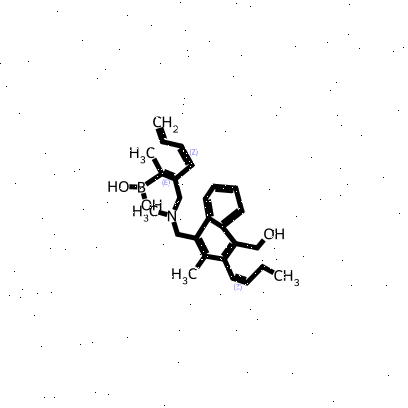 C=C/C=C\C(CN(C)Cc1c(C)c(/C=C\CC)c(CO)c2ccccc12)=C(/C)B(O)O